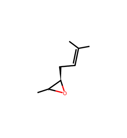 C[C]1O[C@@H]1CC=C(C)C